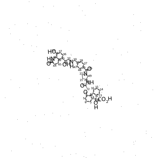 O=C(COc1cccc(C(O)(C(=O)O)c2ccccc2)c1)NC1CCN(C(=O)c2ccc(CNCC(O)c3ccc(O)c4[nH]c(=O)ccc34)cc2)C1